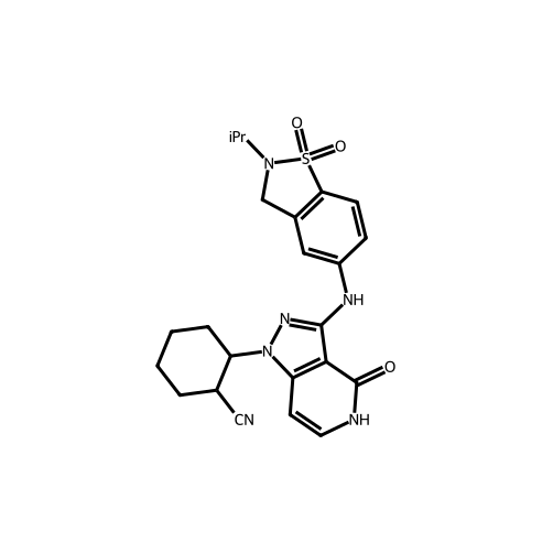 CC(C)N1Cc2cc(Nc3nn(C4CCCCC4C#N)c4cc[nH]c(=O)c34)ccc2S1(=O)=O